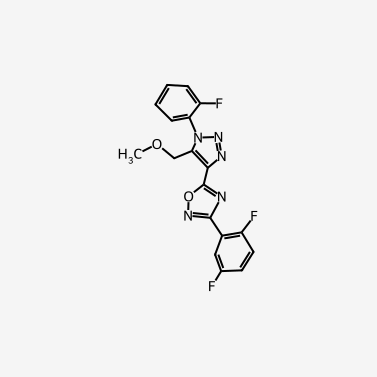 COCc1c(-c2nc(-c3cc(F)ccc3F)no2)nnn1-c1ccccc1F